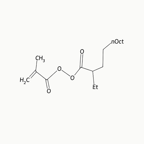 C=C(C)C(=O)OOC(=O)C(CC)CCCCCCCCCC